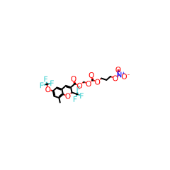 Cc1cc(OC(F)(F)F)cc2c1OC(C(F)(F)F)C(C(=O)OCOC(=O)OCCCO[N+](=O)[O-])=C2